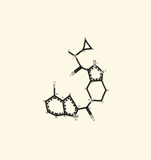 CN(C(=O)c1[nH]nc2c1CN(C(=O)c1cc3c(F)cccc3[nH]1)CC2)C1CC1